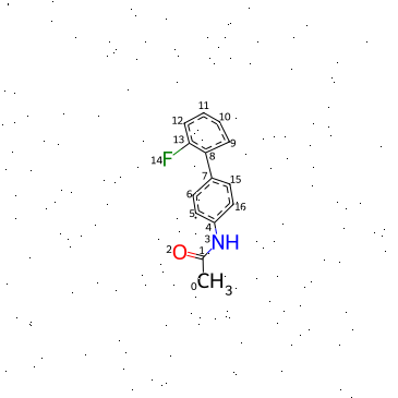 CC(=O)Nc1[c]cc(-c2ccccc2F)cc1